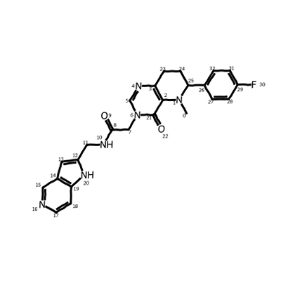 CN1c2c(ncn(CC(=O)NCc3cc4cnccc4[nH]3)c2=O)CCC1c1ccc(F)cc1